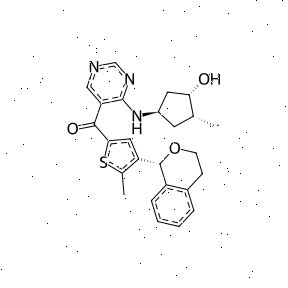 [CH2][C@@H]1C[C@@H](Nc2ncncc2C(=O)c2cc([C@@H]3OCCc4ccccc43)c(C)s2)C[C@@H]1O